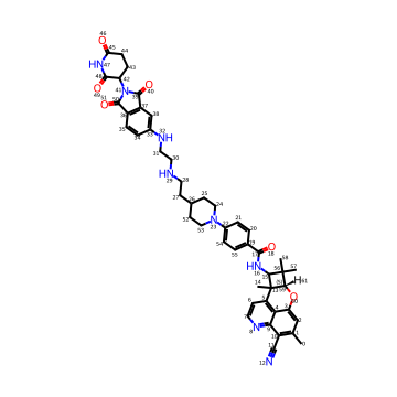 Cc1cc2c3c(ccnc3c1C#N)C1(C)C(NC(=O)c3ccc(N4CCC(CCNCCNc5ccc6c(c5)C(=O)N(C5CCC(=O)NC5=O)C6=O)CC4)cc3)C(C)(C)[C@@H]1O2